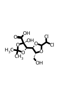 CC1(C)O[C@@H]([C@@H]2OC(C(Cl)Cl)O[C@@H]2CO)[C@](O)(C(=O)O)O1